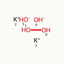 OO.[K+].[K+].[OH-].[OH-]